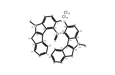 [CH2]=[Zr+2]([c]1c(C)ccc2c1c1c(n2C)Cc2ccccc2-1)[c]1c(C)ccc2c1c1c(n2C)Cc2ccccc2-1.[Cl-].[Cl-]